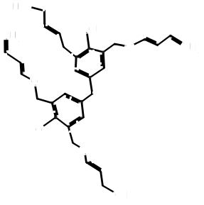 C=CC=COCc1cc(Cc2cc(COC=CC=C)c(O)c(COC=CCC)c2)cc(CC=CCC)c1O